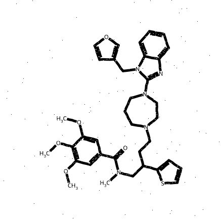 COc1cc(C(=O)N(C)CC(CCN2CCCN(c3nc4ccccc4n3Cc3ccoc3)CC2)c2cccs2)cc(OC)c1OC